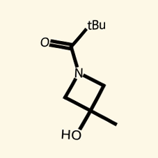 CC1(O)CN(C(=O)C(C)(C)C)C1